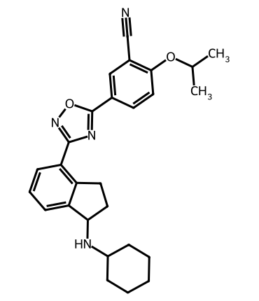 CC(C)Oc1ccc(-c2nc(-c3cccc4c3CCC4NC3CCCCC3)no2)cc1C#N